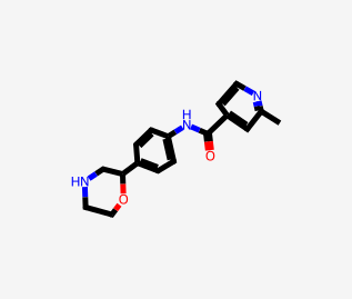 Cc1cc(C(=O)Nc2ccc(C3CNCCO3)cc2)ccn1